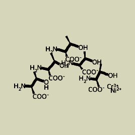 C[C@@H](O)[C@H](N)C(=O)[O-].C[C@@H](O)[C@H](N)C(=O)[O-].C[C@@H](O)[C@H](N)C(=O)[O-].C[C@@H](O)[C@H](N)C(=O)[O-].C[C@@H](O)[C@H](N)C(=O)[O-].[Cr+3].[Ni+2]